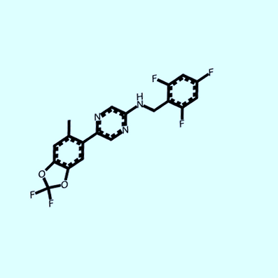 Cc1cc2c(cc1-c1cnc(NCc3c(F)cc(F)cc3F)cn1)OC(F)(F)O2